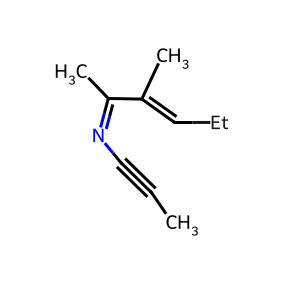 CC#C/N=C(C)\C(C)=C\CC